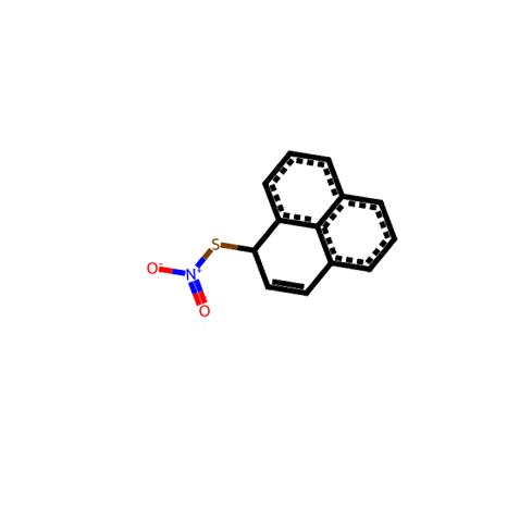 O=[N+]([O-])SC1C=Cc2cccc3cccc1c23